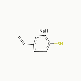 C=Cc1ccc(S)cc1.[NaH]